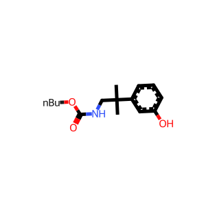 CCCCOC(=O)NCC(C)(C)c1cccc(O)c1